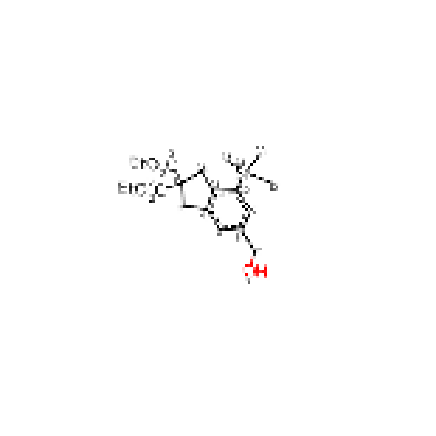 CCOC(=O)C1(C(=O)OCC)Cc2cc(CO)cc([Si](C)(C)C)c2C1